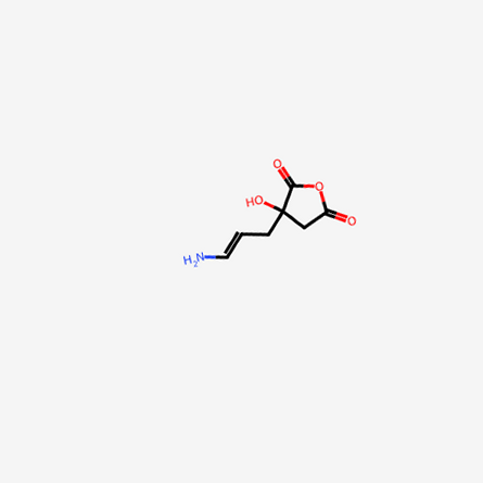 NC=CCC1(O)CC(=O)OC1=O